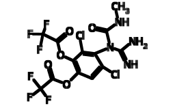 CNC(=O)N(C(=N)N)c1c(Cl)cc(OC(=O)C(F)(F)F)c(OC(=O)C(F)(F)F)c1Cl